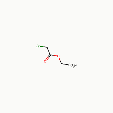 O=C(O)COC(=O)CBr